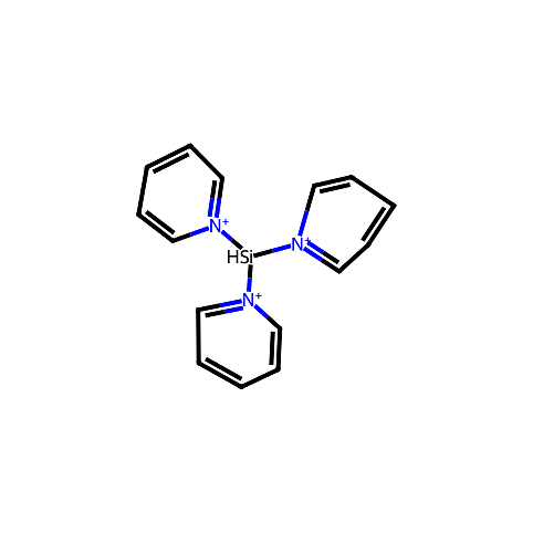 c1cc[n+]([SiH]([n+]2ccccc2)[n+]2ccccc2)cc1